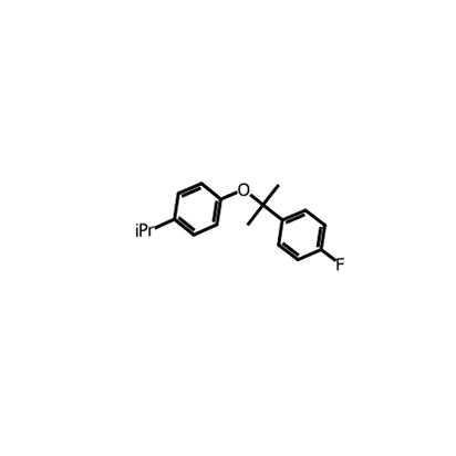 CC(C)c1ccc(OC(C)(C)c2ccc(F)cc2)cc1